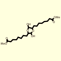 COC(=O)CCCCCCCC1OC(O)C(CCCCCCCC(=O)OC)OC1O